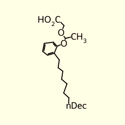 CCCCCCCCCCCCCCCCCc1ccccc1OC(C)OCC(=O)O